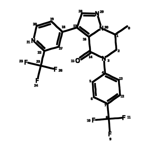 CC1CN(c2ccc(C(F)(F)F)cc2)C(=O)c2c(-c3ccnc(C(F)(F)F)c3)cnn21